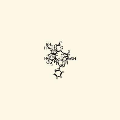 CC(=O)O[C@H]1C(=O)[C@]2(C)[C@@H](OPP)C[C@H]3OC[C@@]3(OC(C)=O)[C@H]2[C@H](OC(=O)c2ccccc2)[C@]2(O)C[C@H](O)C(C)=C1C2(C)C